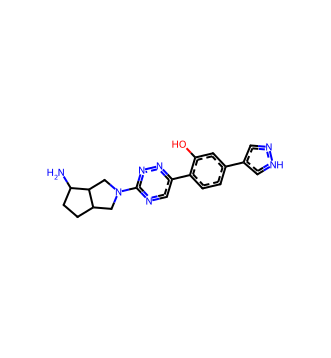 NC1CCC2CN(c3ncc(-c4ccc(-c5cn[nH]c5)cc4O)nn3)CC12